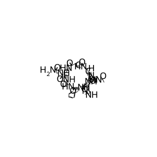 CC(=O)NCC(=O)N[C@H]1CCNC(=O)CCC(=O)NCC[C@@H](C(=O)NCC(N)=O)NC(=O)CNC(=O)[C@@H](Cc2ccccc2)NC(=O)[C@H](Cc2c[nH]cn2)NC1=O